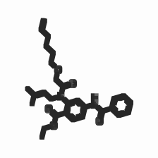 C=CCCCCOCC(=O)N(CC=C(C)C)c1cc(NC(=O)c2ccccc2)ccc1C(=O)OCC